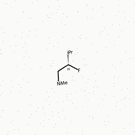 CNC[C@@H](F)C(C)C